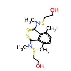 [CH2]c1ccc([CH2])c(C(=S)N(C)SCCO)c1C(=S)N(C)SCCO